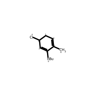 CCCCC1=CC(Cl)CC=C1C